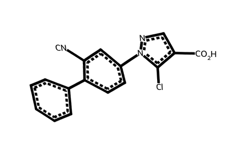 [C-]#[N+]c1cc(-n2ncc(C(=O)O)c2Cl)ccc1-c1ccccc1